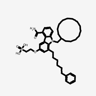 NC(=O)c1cccc2c1c1cc(OCCP(=O)(O)O)cc(CCCCCCc3ccccc3)c1n2CC1CCCCCCCCCCCCC1